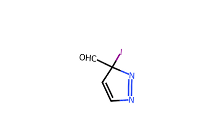 O=CC1(I)C=CN=N1